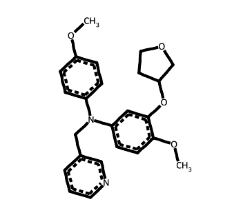 COc1ccc(N(Cc2cccnc2)c2ccc(OC)c(OC3CCOC3)c2)cc1